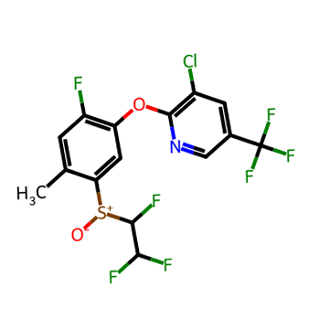 Cc1cc(F)c(Oc2ncc(C(F)(F)F)cc2Cl)cc1[S+]([O-])C(F)C(F)F